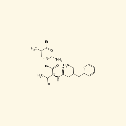 CCC(=O)C(C)C[C@H](CN)NC(=O)[C@@H](NC(=O)CC(CN)Cc1ccccc1)C(C)O